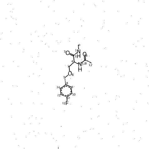 CNC(=O)C(COCc1ccc(F)cc1)NC(C)=O